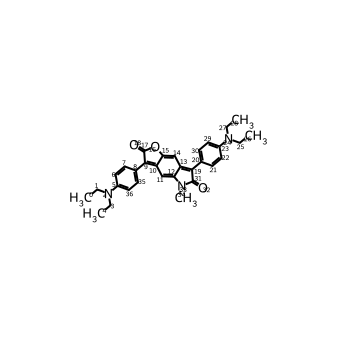 CCN(CC)c1ccc(C2=c3cc4c(cc3OC2=O)=C(c2ccc(N(CC)CC)cc2)C(=O)N4C)cc1